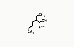 CCCCC(CC)CO.[Mn]